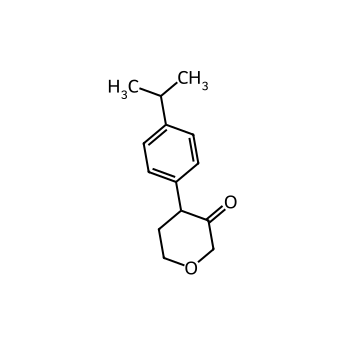 CC(C)c1ccc(C2CCOCC2=O)cc1